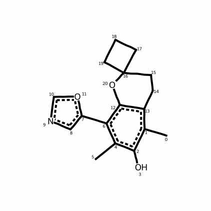 Cc1c(O)c(C)c(-c2cnco2)c2c1CCC1(CCC1)O2